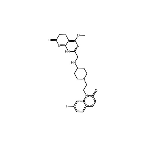 COC1=C2CCC(=O)N=C2NC(CNC2CCN(CCn3c(=O)ccc4ccc(F)cc43)CC2)=N1